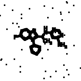 CC(Nc1cc(N)ncn1)c1nc2ccc(F)cc2n1-c1ccccc1